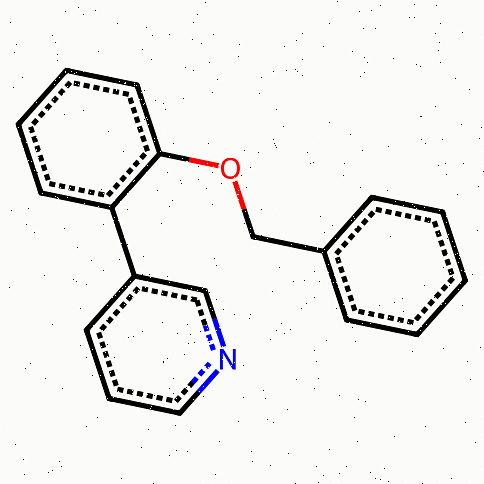 c1ccc(COc2ccccc2-c2cccnc2)cc1